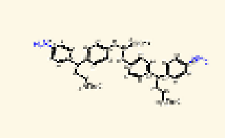 CCCCCCCCCCCCC(c1ccc(N)cc1)c1ccc(CC(CCCCCC)Cc2ccc(C(CCCCCCCCCCCC)c3ccc(N)cc3)cc2)cc1